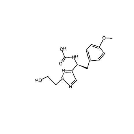 COc1ccc(C[C@H](NC(=O)O)c2cnn(CCO)n2)cc1